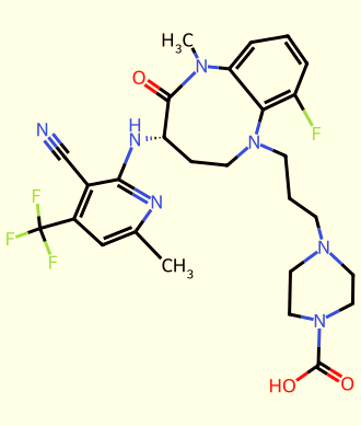 Cc1cc(C(F)(F)F)c(C#N)c(N[C@H]2CCN(CCCN3CCN(C(=O)O)CC3)c3c(F)cccc3N(C)C2=O)n1